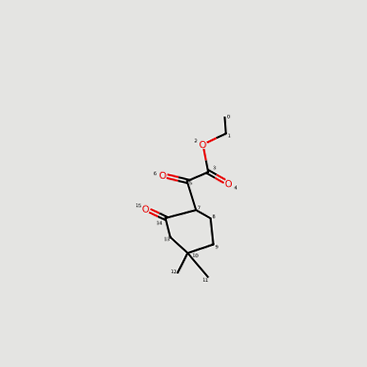 CCOC(=O)C(=O)C1CCC(C)(C)CC1=O